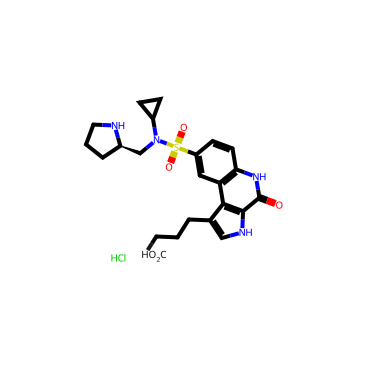 Cl.O=C(O)CCCc1c[nH]c2c(=O)[nH]c3ccc(S(=O)(=O)N(C[C@H]4CCCN4)C4CC4)cc3c12